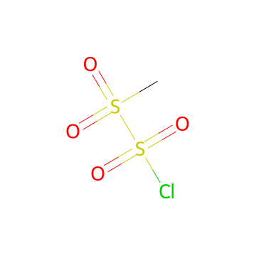 CS(=O)(=O)S(=O)(=O)Cl